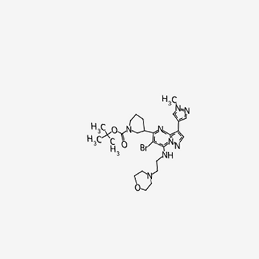 Cn1cc(-c2cnn3c(NCCN4CCOCC4)c(Br)c(C4CCCN(C(=O)OC(C)(C)C)C4)nc23)cn1